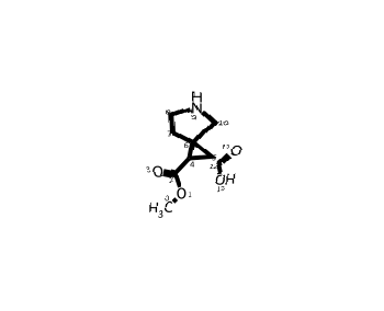 COC(=O)C1CC12CCNC2.O=CO